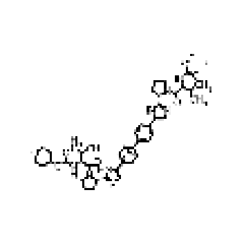 COC(=O)N[C@H](C(=O)N1CCC[C@H]1c1ncc(-c2ccc(C34CCC(c5cnc([C@@H]6CCCN6C(=O)[C@H](NC(=O)OC6CCOCC6)C(C)C)[nH]5)(CC3)CC4)cc2)[nH]1)C(C)C